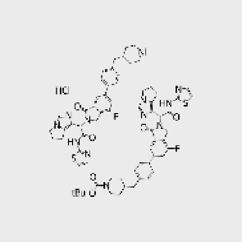 CC(C)(C)OC(=O)N1CCC(Cc2ccc(-c3cc(F)c4c(c3)C(=O)N(C(C(=O)Nc3nccs3)c3ncn5c3CCC5)C4)cc2)CC1.Cl.O=C(Nc1nccs1)C(c1ncn2c1CCC2)N1Cc2c(F)cc(-c3ccc(CC4CCNCC4)cc3)cc2C1=O